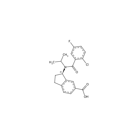 CC(C)N(C(=O)c1cc(F)ccc1Cl)[C@@H]1CCc2ccc(C(=O)O)cc21